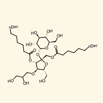 CCCCCCCCCCCCCCCC(=O)OC[C@@]1(O[C@H]2O[C@H](CO)[C@@H](O)[C@H](O)[C@H]2O)O[C@H](CO)[C@@H](OCC(O)CO)[C@@H]1OC(=O)CCCCCCCCCCCCCCC